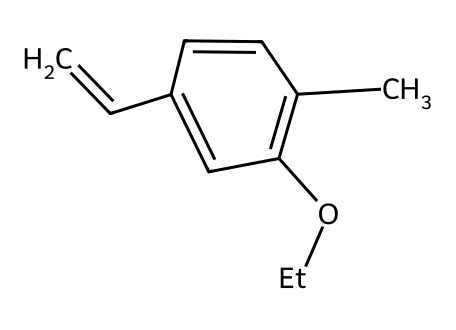 C=Cc1ccc(C)c(OCC)c1